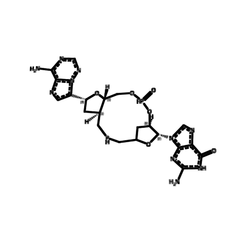 Nc1nc2c(ncn2[C@@H]2OC3CPC[C@H]4C[C@H](c5cnc6c(N)ncnn56)O[C@@H]4CO[PH](=O)O[C@@H]2C3)c(=O)[nH]1